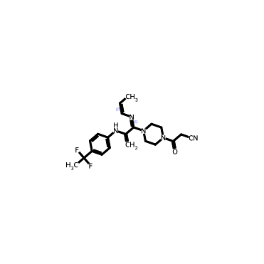 C=C(Nc1ccc(C(C)(F)F)cc1)/C(=N\C=C/C)N1CCN(C(=O)CC#N)CC1